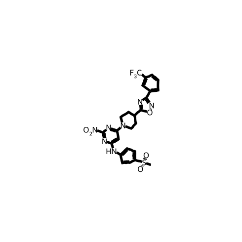 CS(=O)(=O)c1ccc(Nc2cc(N3CCC(c4nc(-c5cccc(C(F)(F)F)c5)no4)CC3)nc([N+](=O)[O-])n2)cc1